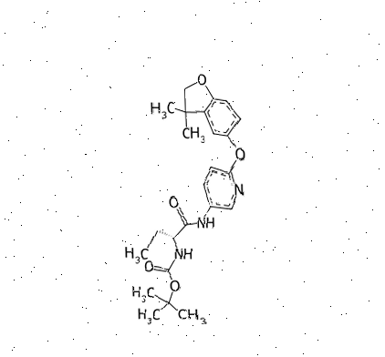 CC[C@@H](NC(=O)OC(C)(C)C)C(=O)Nc1ccc(Oc2ccc3c(c2)C(C)(C)CO3)nc1